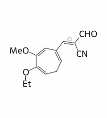 CCOC1=CCC=C(/C=C(\C#N)C=O)C=C1OC